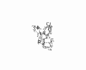 CN1CCC(n2c(=O)c(-c3c(F)cccc3F)cc3cnc(Cl)cc32)C1